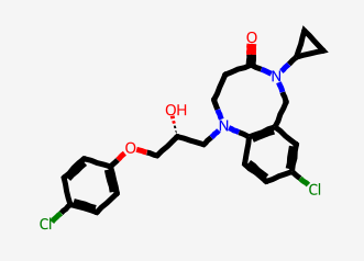 O=C1CCN(C[C@@H](O)COc2ccc(Cl)cc2)c2ccc(Cl)cc2CN1C1CC1